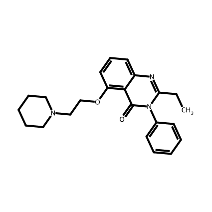 CCc1nc2cccc(OCCN3CCCCC3)c2c(=O)n1-c1ccccc1